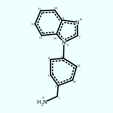 NCc1ccc(-n2cnc3ccccc32)cc1